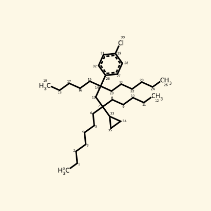 CCCCCCCC(CCCCC)(CC(CCCCC)(CCCCCC)c1ccc(Cl)cc1)C1CC1